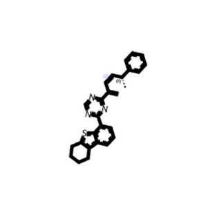 C=C(/C=C\[C@@H](C)c1ccccc1)c1ncnc(-c2cccc3c4c(sc23)CCCC4)n1